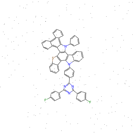 Fc1ccc(-c2nc(-c3ccc(F)cc3)nc(-c3ccc(-n4c5ccccc5c5c4c4c6ccccc6sc4c4c6c7ccccc7c7ccccc7c6n(-c6ccccc6)c45)cc3)n2)cc1